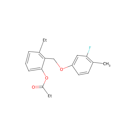 CCC(=O)Oc1cccc(CC)c1COc1ccc(C)c(F)c1